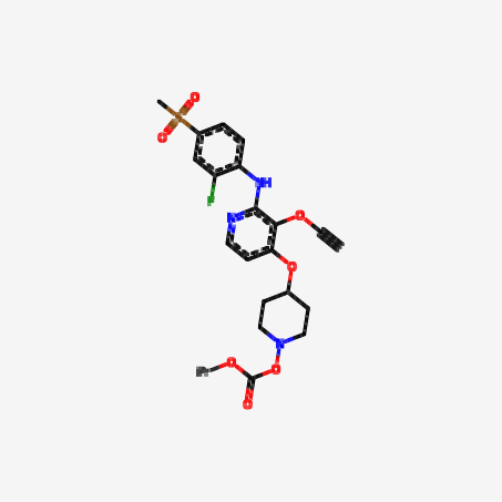 C#COc1c(OC2CCN(OC(=O)OC(C)C)CC2)ccnc1Nc1ccc(S(C)(=O)=O)cc1F